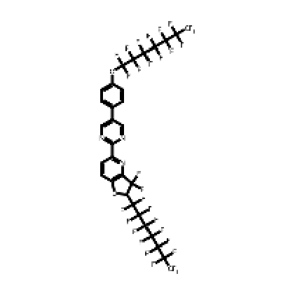 FC1(F)c2nc(-c3ncc(-c4ccc(OC(F)(F)C(F)(F)C(F)(F)C(F)(F)C(F)(F)C(F)(F)C(F)(F)F)cc4)cn3)ccc2OC1C(F)(F)C(F)(F)C(F)(F)C(F)(F)C(F)(F)C(F)(F)C(F)(F)F